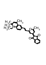 CCN1c2ccc(/C=C/C3=CC(=C4C(=O)c5ccccc5C4=O)C=C(C)O3)cc2C(C)=CC1(C)C